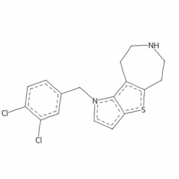 Clc1ccc(Cn2ccc3sc4c(c32)CCNCC4)cc1Cl